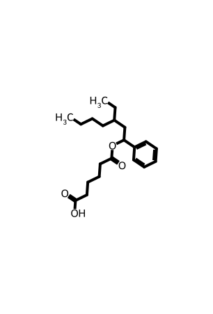 CCCCC(CC)CC(OC(=O)CCCCC(=O)O)c1ccccc1